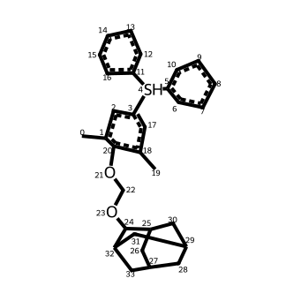 Cc1cc([SH](c2ccccc2)c2ccccc2)cc(C)c1OCOC1C2CC3CC(C2)CC1C3